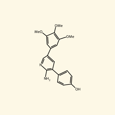 COc1cc(-c2cnc(N)c(-c3ccc(O)cc3)c2)cc(OC)c1OC